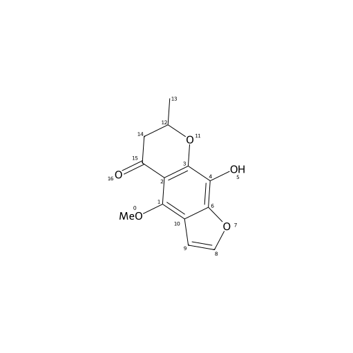 COc1c2c(c(O)c3occc13)OC(C)CC2=O